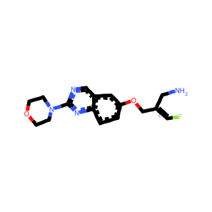 NC/C(=C\F)COc1ccc2nc(N3CCOCC3)ncc2c1